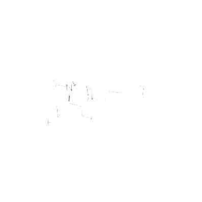 CN(C)CCCONc1c(F)cc(F)cc1[N+](=O)[O-]